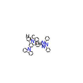 Cc1cccc(C)c1-n1c2ccccc2c2cc(-n3c4ccccc4c4ccccc43)cc(-c3ccc(-c4nc(-c5ccccc5)nc(-c5ccccc5)n4)cc3)c21